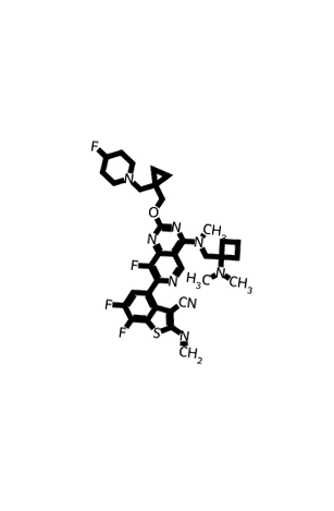 C=Nc1sc2c(F)c(F)cc(-c3ncc4c(N(C)CC5(N(C)C)CCC5)nc(OCC5(CN6CCC(F)CC6)CC5)nc4c3F)c2c1C#N